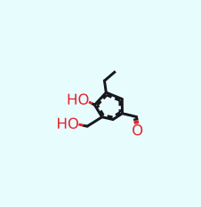 CCc1cc(C=O)cc(CO)c1O